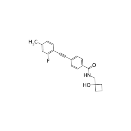 Cc1ccc(C#Cc2ccc(C(=O)NCC3(O)CCC3)cc2)c(F)c1